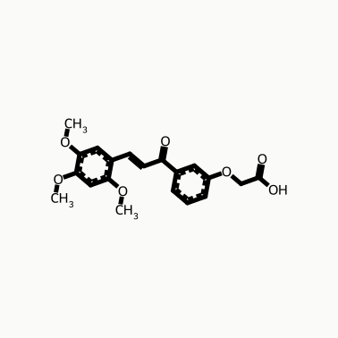 COc1cc(OC)c(OC)cc1C=CC(=O)c1cccc(OCC(=O)O)c1